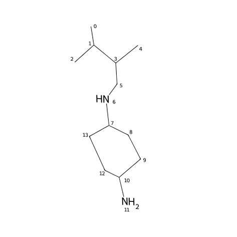 CC(C)C(C)CNC1CCC(N)CC1